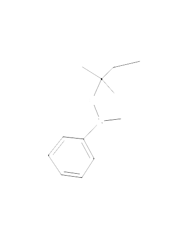 CCC(C)(C)ON(C)c1ccccc1